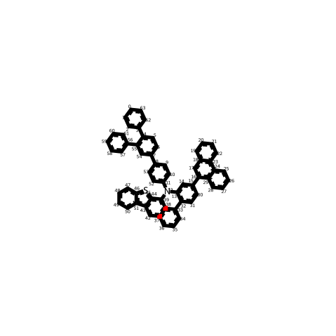 c1ccc(-c2ccc(-c3ccc(N(c4cc(-c5cc6ccccc6c6ccccc56)ccc4-c4ccccc4)c4cccc5c4sc4ccccc45)cc3)cc2-c2ccccc2)cc1